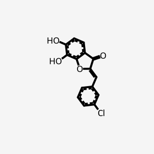 O=C1/C(=C/c2cccc(Cl)c2)Oc2c1ccc(O)c2O